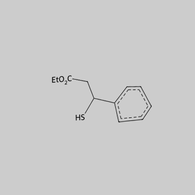 CCOC(=O)CC(S)c1ccccc1